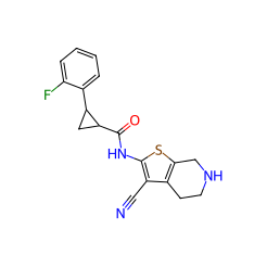 N#Cc1c(NC(=O)C2CC2c2ccccc2F)sc2c1CCNC2